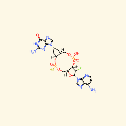 Nc1nc2c(ncn2[C@@H]2C[C@@H]3COP(=O)(O)O[C@@H]4C(F)[C@H](n5cnc6c(N)ccnc65)O[C@@H]4COP(=O)(S)O[C@@H]3C2)c(=O)[nH]1